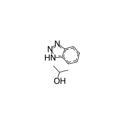 CC(C)O.c1ccc2[nH]nnc2c1